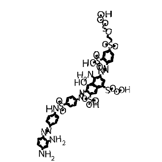 Nc1ccc(/N=N/c2ccc(NS(=O)(=O)c3ccc(/N=N/c4c(S(=O)(=O)O)cc5c(SOOO)cc(/N=N/c6ccc(S(=O)(=O)CCOSOOO)cc6S(=O)(=O)O)c(N)c5c4O)cc3)cc2)c(N)c1